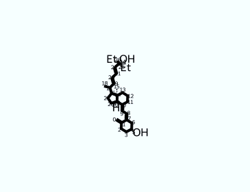 C=C1CC[C@H](O)C/C1=C/C=C1\CCC[C@]2(C)C(C(C)/C=C/C=C/C(O)(CC)CC)CC[C@@H]12